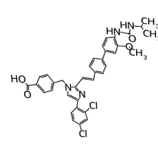 COc1cc(-c2ccc(C=Cc3nc(-c4ccc(Cl)cc4Cl)cn3Cc3ccc(C(=O)O)cc3)cc2)ccc1NC(=O)NC(C)C